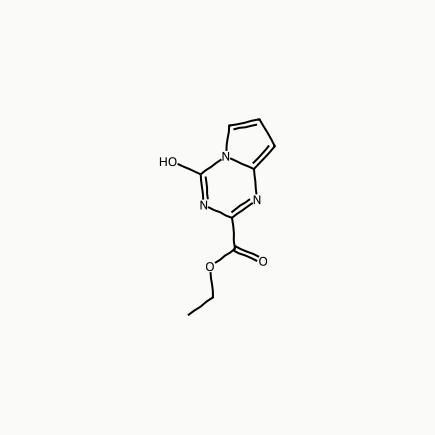 CCOC(=O)c1nc(O)n2cccc2n1